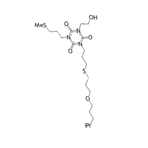 CSCCCn1c(=O)n(CCO)c(=O)n(CCCSCCCOCCCC(C)C)c1=O